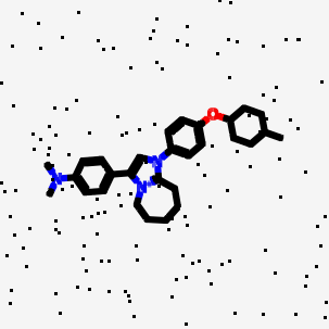 CC1CCC(Oc2ccc(-n3cc(-c4ccc(N(C)C)cc4)[n+]4c3CCCCC4)cc2)CC1